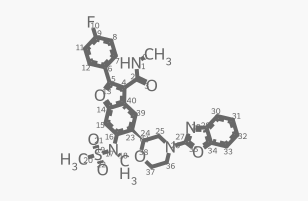 CNC(=O)c1c(-c2ccc(F)cc2)oc2cc(N(C)S(C)(=O)=O)c([C@H]3CN(c4nc5ccccc5o4)CCO3)cc12